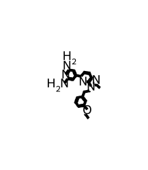 CCOc1cccc(CCn2c(C)nc3ccc(-c4cc(N)nc(N)c4)nc32)c1